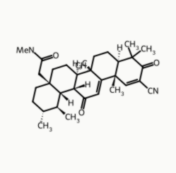 CNC(=O)C[C@]12CC[C@@H](C)[C@H](C)[C@H]1[C@H]1C(=O)C=C3[C@@]4(C)C=C(C#N)C(=O)C(C)(C)[C@@H]4CC[C@@]3(C)[C@]1(C)CC2